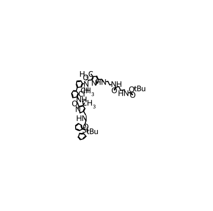 Cc1cc(CNCCNC(=O)CCCNC(=O)OC(C)(C)C)cnc1C(=O)Nc1cccc(-c2cccc(NC(=O)c3ncc(CNCCO[Si](c4ccccc4)(c4ccccc4)C(C)(C)C)cc3C)c2Cl)c1C